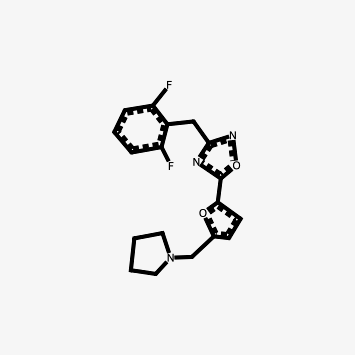 Fc1cccc(F)c1Cc1noc(-c2ccc(CN3CCCC3)o2)n1